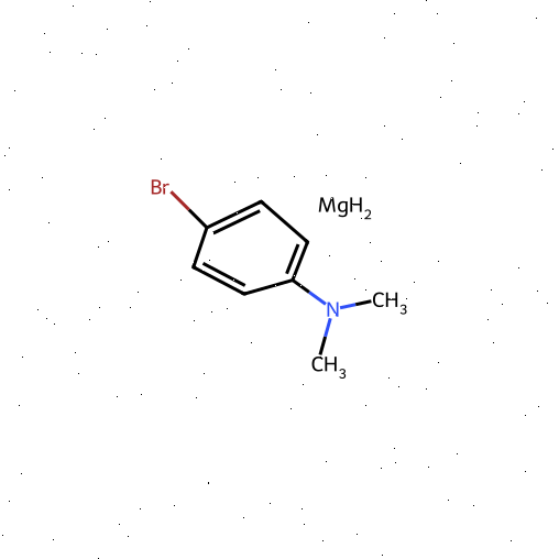 CN(C)c1ccc(Br)cc1.[MgH2]